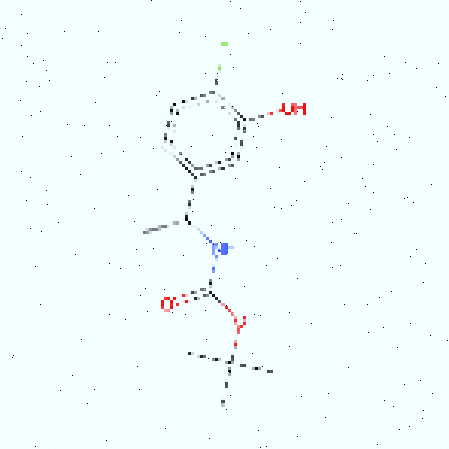 C[C@@H](NC(=O)OC(C)(C)C)c1ccc(F)c(O)c1